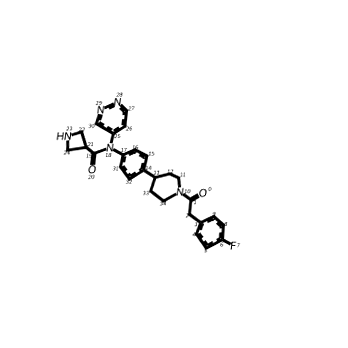 O=C(Cc1ccc(F)cc1)N1CCC(c2ccc(N(C(=O)C3CNC3)c3ccnnc3)cc2)CC1